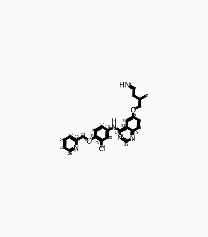 CC(CC=N)COc1ccc2ncnc(Nc3ccc(OCc4ccccn4)c(Cl)c3)c2c1